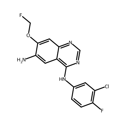 Nc1cc2c(Nc3ccc(F)c(Cl)c3)ncnc2cc1OCF